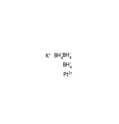 [BH4-].[BH4-].[BH4-].[K+].[Pt+2]